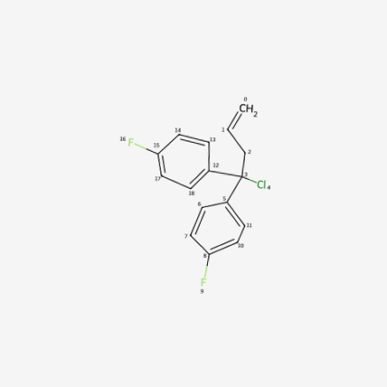 C=CCC(Cl)(c1ccc(F)cc1)c1ccc(F)cc1